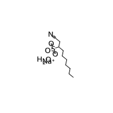 CCCCCCCC(CC#N)S(=O)(=O)[O-].O.[Na+]